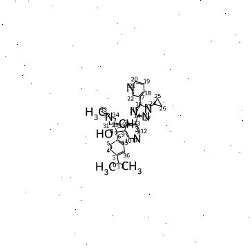 CC(C)c1ccc([C@](O)(c2cncc(-c3nc(-c4cccnc4)n(C4CC4)n3)c2)C2(C)CN(C)C2)cc1